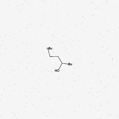 [CH2]C(CC)C(O)CCCCCC